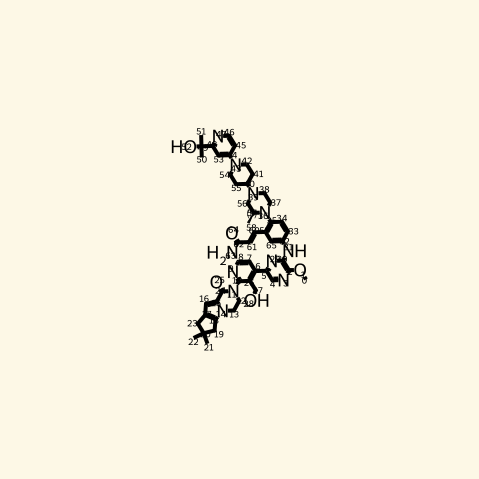 COc1ncc(-c2ccnc(N3CCn4c(cc5c4CC(C)(C)C5)C3=O)c2CO)nc1Nc1ccc(N2CCN(C3CCN(c4ccnc(C(C)(C)O)c4)CC3)C[C@@H]2C)c(C=CC(N)=O)c1